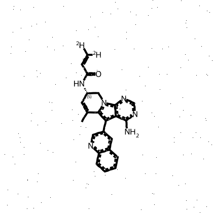 [2H]C([2H])=CC(=O)N[C@H]1C=C(C)c2c(-c3cnc4ccccc4c3)c3c(N)ncnc3n2C1